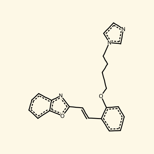 C(=Cc1ccccc1OCCCCn1ccnc1)c1nc2ccccc2o1